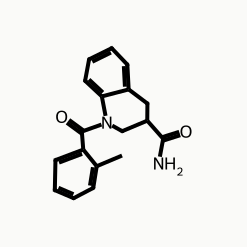 Cc1ccccc1C(=O)N1CC(C(N)=O)Cc2ccccc21